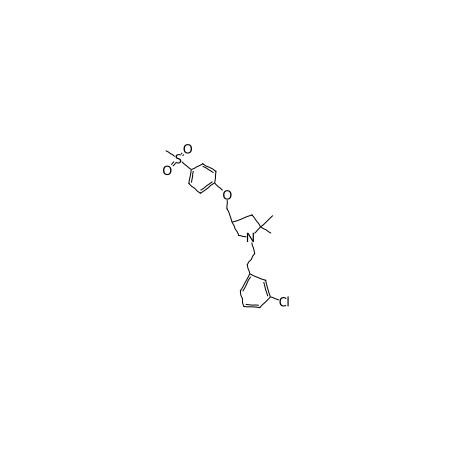 CC1(C)CC(COc2ccc(S(C)(=O)=O)cc2)CN1CCc1cccc(Cl)c1